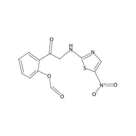 O=COc1ccccc1C(=O)CNc1ncc([N+](=O)[O-])s1